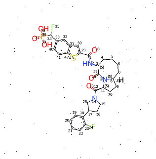 O=C(N[C@H]1CCCC[C@H]2CC[C@@H](C(=O)N3CCC(c4ccccc4F)C3)N2C1=O)c1cc2cc(C(F)P(=O)(O)O)ccc2s1